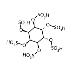 O=S(=O)(O)O[C@H]1[C@H](OS(=O)(=O)O)[C@H](OS(=O)(=O)O)[C@@H](OS(=O)(=O)O)[C@@H](OS(=O)(=O)O)[C@H]1OS(=O)(=O)O